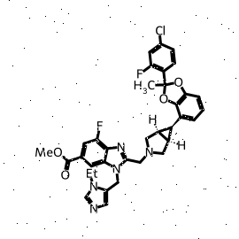 CCn1cncc1Cn1c(CN2C[C@@H]3[C@H](C2)[C@@H]3c2cccc3c2OC(C)(c2ccc(Cl)cc2F)O3)nc2c(F)cc(C(=O)OC)cc21